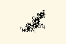 CC1=CN(C)[C@@H](c2ccnc(C(C)(C)O)n2)CC1n1c(C)cc(OCc2ncc(F)cc2F)c(Cl)c1=O